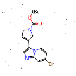 CC(C)(C)OC(=O)N1CC=C(c2cnc3cc(Br)ccn23)C1